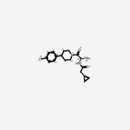 CC[C@H](C)[C@@H](NC(=O)CC1CC1)C(=O)N1CCC(c2ccc(Cl)cc2)CC1